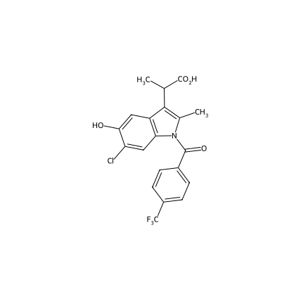 Cc1c(C(C)C(=O)O)c2cc(O)c(Cl)cc2n1C(=O)c1ccc(C(F)(F)F)cc1